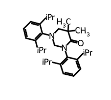 CC(C)c1cccc(C(C)C)c1N1CN(c2c(C(C)C)cccc2C(C)C)C(=O)C(C)(C)C1